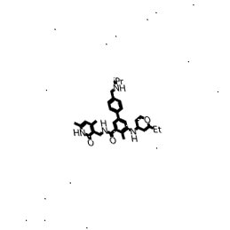 CCC1CC(Nc2cc(-c3ccc(CNC(C)C)cc3)cc(C(=O)NCc3c(C)cc(C)[nH]c3=O)c2C)CCO1